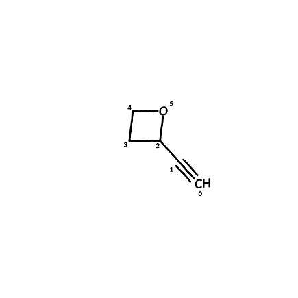 C#CC1CCO1